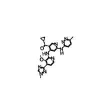 COc1c(-c2ncn(C)n2)ccnc1Nc1cc(Nc2ccc(C)nn2)ncc1C(=O)C1CC1